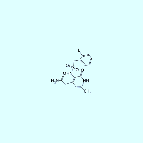 Cc1cc(CC(N)=O)c(NS(=O)(=O)Cc2ccccc2I)c(=O)[nH]1